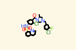 CC1CN(Cc2ccc(Cl)c(F)c2)CCN1C(=O)c1ccc(NS(=O)(=O)c2cccc3cccnc23)cc1Cl